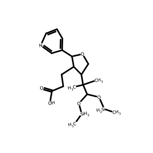 C[SiH2]OC(O[SiH2]C)C(C)(C)C1COC(c2cccnc2)C1CCC(=O)O